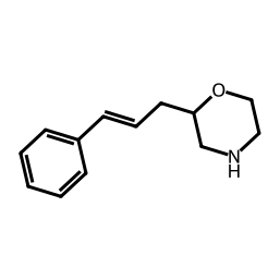 C(=C\c1ccccc1)/CC1CNCCO1